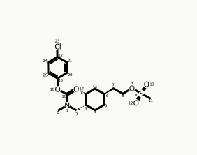 CN(C[C@H]1CC[C@H](CCOS(C)(=O)=O)CC1)C(=O)Oc1ccc(Cl)cc1